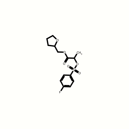 CC(OS(=O)(=O)c1ccc(F)cc1)C(=O)OCC1CCCO1